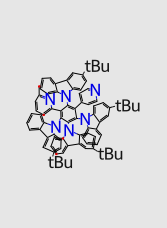 Cc1cccc(-c2c(-n3c4ccccc4c4cc(C(C)(C)C)ccc43)c(-c3ccncc3)c(-n3c4ccccc4c4cc(C(C)(C)C)ccc43)c(-n3c4ccccc4c4cc(C(C)(C)C)ccc43)c2-n2c3ccccc3c3cc(C(C)(C)C)ccc32)n1